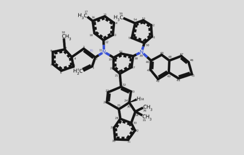 C=C/C(=C\c1ccccc1C)N(c1cccc(C)c1)c1cc(C2=C[C@H]3C(C=C2)c2ccccc2C3(C)C)cc(N(C2=CC=C3C=CC=CC3C2)c2cccc(C)c2)c1